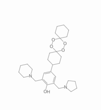 Oc1c(CN2CCCCC2)cc(C2CCC3(CC2)OOC2(CCCCC2)OO3)cc1CN1CCCC1